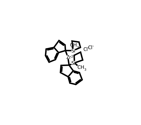 C[Si]1([C]2([Zr+2][C]3([Si]4(C)CCC4)C=Cc4ccccc43)C=Cc3ccccc32)CCC1.[Cl-].[Cl-]